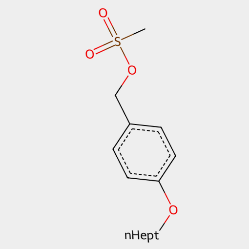 CCCCCCCOc1ccc(COS(C)(=O)=O)cc1